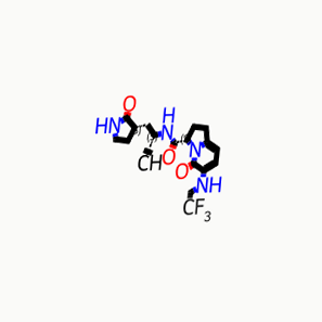 C#C[C@H](C[C@@H]1CCNC1=O)NC(=O)[C@@H]1CCc2ccc(NCC(F)(F)F)c(=O)n21